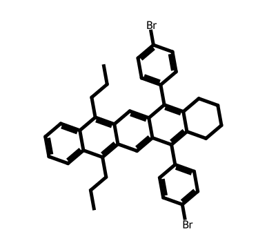 CCCc1c2ccccc2c(CCC)c2cc3c(-c4ccc(Br)cc4)c4c(c(-c5ccc(Br)cc5)c3cc12)CCCC4